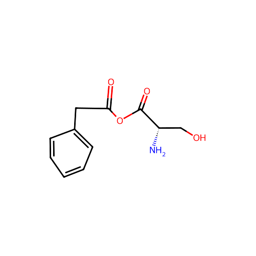 N[C@@H](CO)C(=O)OC(=O)Cc1ccccc1